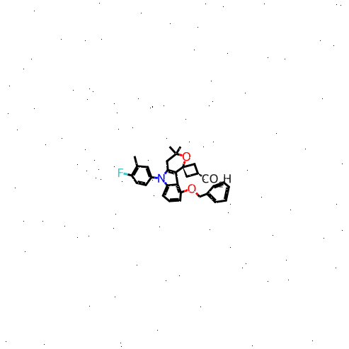 Cc1cc(-n2c3c(c4c(OCc5ccccc5)cccc42)[C@]2(C[C@H](C(=O)O)C2)OC(C)(C)C3)ccc1F